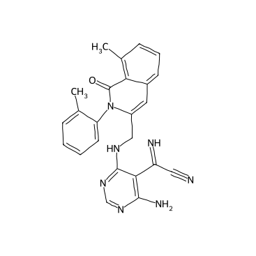 Cc1ccccc1-n1c(CNc2ncnc(N)c2C(=N)C#N)cc2cccc(C)c2c1=O